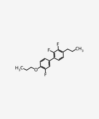 CCCOc1ccc(-c2ccc(CCC)c(F)c2F)cc1F